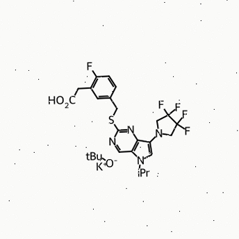 CC(C)(C)[O-].CC(C)n1cc(N2CC(F)(F)C(F)(F)C2)c2nc(SCc3ccc(F)c(CC(=O)O)c3)ncc21.[K+]